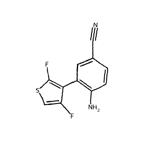 N#Cc1ccc(N)c(-c2c(F)csc2F)c1